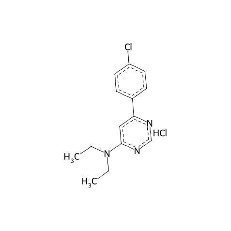 CCN(CC)c1cc(-c2ccc(Cl)cc2)ncn1.Cl